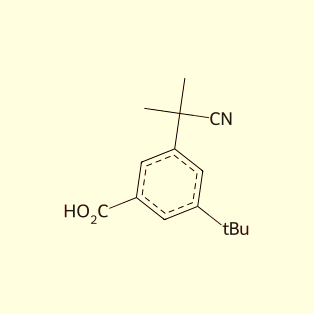 CC(C)(C)c1cc(C(=O)O)cc(C(C)(C)C#N)c1